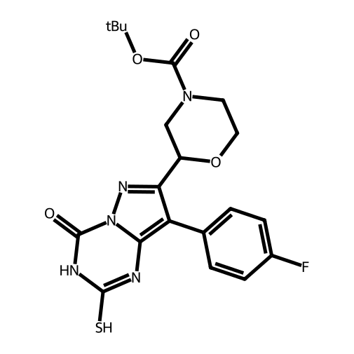 CC(C)(C)OC(=O)N1CCOC(c2nn3c(=O)[nH]c(S)nc3c2-c2ccc(F)cc2)C1